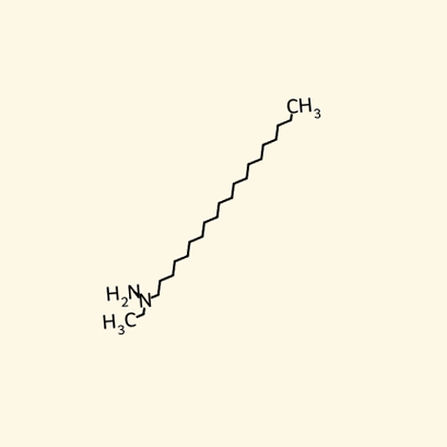 CCCCCCCCCCCCCCCCCCCCN(N)CC